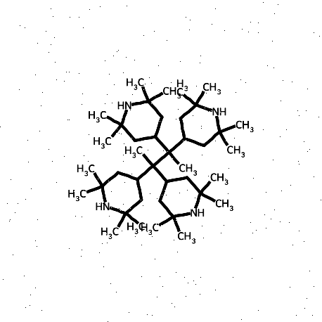 CC1(C)CC(C(C)(C2CC(C)(C)NC(C)(C)C2)C(C)(C2CC(C)(C)NC(C)(C)C2)C2CC(C)(C)NC(C)(C)C2)CC(C)(C)N1